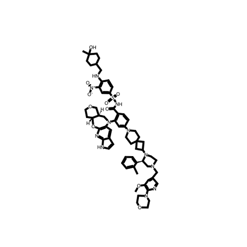 COc1cc(CN2CCN(C3CC4(CCN(c5ccc(C(=O)NS(=O)(=O)c6ccc(NCC7CCC(C)(O)CC7)c([N+](=O)[O-])c6)c(N6C[C@@H]7COCC[C@H]7Oc7nc8[nH]ccc8cc76)c5)CC4)C3)[C@H](c3ccccc3C)C2)cnc1N1CCOCC1